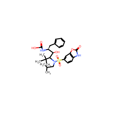 CC(C)CN(C([C@H](O)[C@H](Cc1ccccc1)NC(=O)O)C(C)(C)C)S(=O)(=O)c1ccc2[nH]c(=O)oc2c1